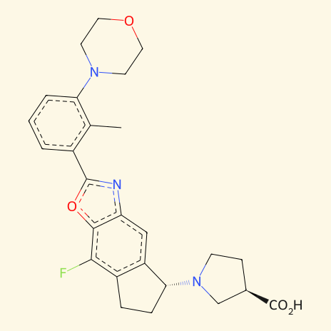 Cc1c(-c2nc3cc4c(c(F)c3o2)CC[C@H]4N2CC[C@@H](C(=O)O)C2)cccc1N1CCOCC1